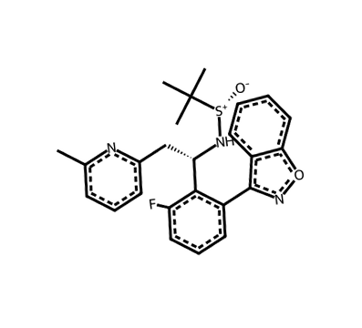 Cc1cccc(C[C@H](N[S@@+]([O-])C(C)(C)C)c2c(F)cccc2-c2noc3ccccc23)n1